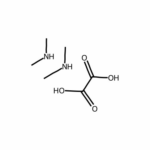 CNC.CNC.O=C(O)C(=O)O